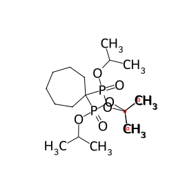 CC(C)OP(=O)(OC(C)C)C1(P(=O)(OC(C)C)OC(C)C)CCCCCC1